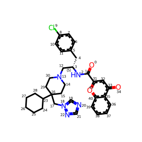 O=C(N[C@@H](Cc1ccc(Cl)cc1)CN1CCC(Cn2cncn2)(C2CCCCC2)CC1)c1cc(=O)c2ccccc2o1